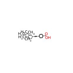 CC1C(C)(C)C2=CCC(C#Cc3ccc(C(=O)O)cc3)C=C2C1(C)C